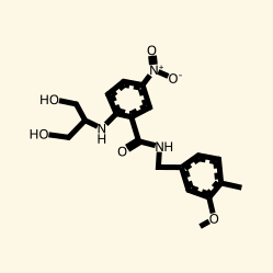 COc1cc(CNC(=O)c2cc([N+](=O)[O-])ccc2NC(CO)CO)ccc1C